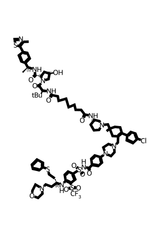 Cc1ncsc1-c1ccc([C@H](C)NC(=O)[C@@H]2C[C@@H](O)CN2C(=O)[C@@H](NC(=O)CCCCCCCC(=O)N[C@H]2CCCN(CC3(C)CCC(c4ccc(Cl)cc4)=C(CN4CCN(c5ccc(C(=O)NS(=O)(=O)c6ccc(N[C@@H](CCSc7ccccc7)CCN7CCOCC7)c(S(=O)(=O)C(F)(F)F)c6)cc5)CC4)C3)C2)C(C)(C)C)cc1